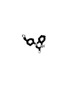 O=Cc1ccc(N2CC(=O)Nc3ccccc32)cc1